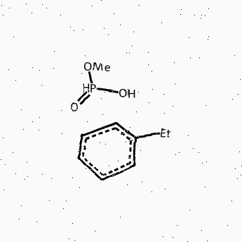 CCc1ccccc1.CO[PH](=O)O